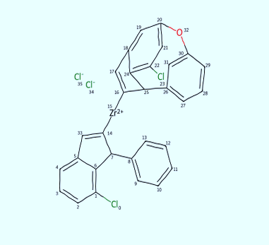 Clc1cccc2c1C(c1ccccc1)[C]([Zr+2][C]1=Cc3cc4cc(Cl)c3C1c1cccc(c1)O4)=C2.[Cl-].[Cl-]